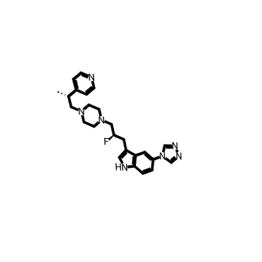 C[C@@H](CN1CCN(C[C@H](F)Cc2c[nH]c3ccc(-n4cnnc4)cc23)CC1)c1ccncc1